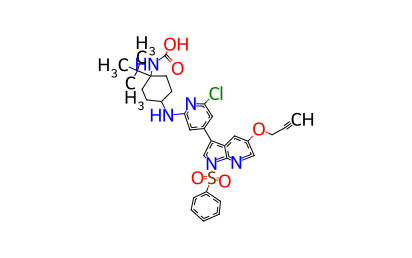 C#CCOc1cnc2c(c1)c(-c1cc(Cl)nc(NC3CCC(NC(=O)O)(C(C)(C)C)CC3)c1)cn2S(=O)(=O)c1ccccc1